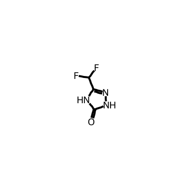 O=c1[nH]nc(C(F)F)[nH]1